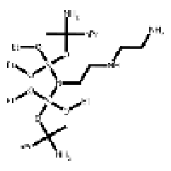 CCCC(C)(N)O[Si](OCC)(OCC)N(CCNCCN)[Si](OCC)(OCC)OC(C)(N)CCC